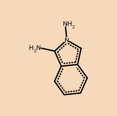 Nc1c2ccccc2[c]n1N